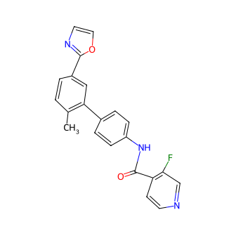 Cc1ccc(-c2ncco2)cc1-c1ccc(NC(=O)c2ccncc2F)cc1